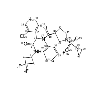 O=C(NC1CC(F)(F)C1)C(c1ccccc1Cl)N(C(=O)[C@H]1CCN(S(=O)(=O)N2CC2)C1)c1cccc(F)c1